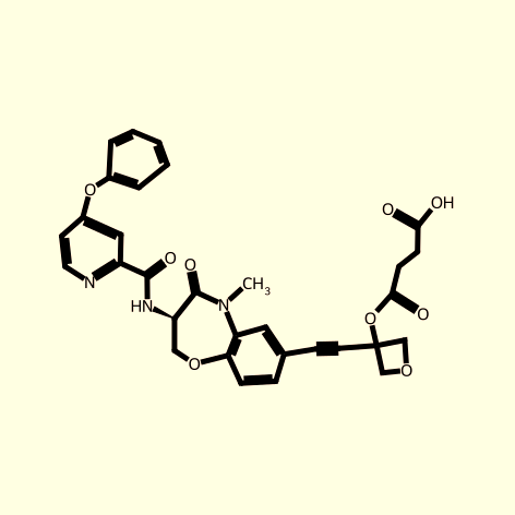 CN1C(=O)[C@H](NC(=O)c2cc(Oc3ccccc3)ccn2)COc2ccc(C#CC3(OC(=O)CCC(=O)O)COC3)cc21